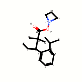 CCC(c1ccccc1C(C)C)C(C)(C)C(=O)ON1CCC1